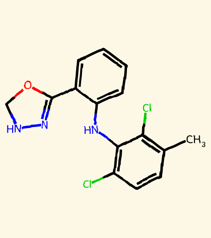 Cc1ccc(Cl)c(Nc2ccccc2C2=NNCO2)c1Cl